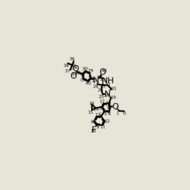 CCOc1cc(-c2ccc(F)cc2)c(C2CC2)cc1CN1CCC2(CC1)CN(c1ccc(C(=O)OC(C)(C)C)cc1)C(=O)N2